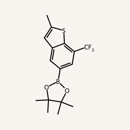 Cc1cc2cc(B3OC(C)(C)C(C)(C)O3)cc(C(F)(F)F)c2s1